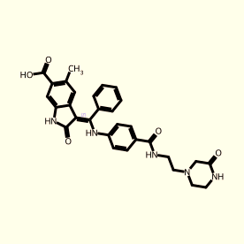 Cc1cc2c(cc1C(=O)O)NC(=O)/C2=C(\Nc1ccc(C(=O)NCCN2CCNC(=O)C2)cc1)c1ccccc1